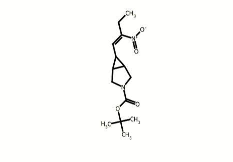 CCC(=CC1C2CN(C(=O)OC(C)(C)C)CC12)[N+](=O)[O-]